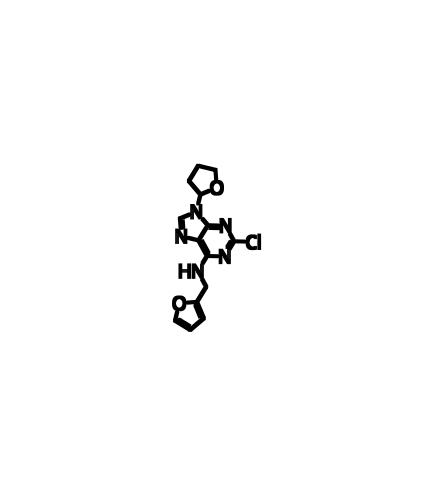 Clc1nc(NCc2ccco2)c2ncn(C3CCCO3)c2n1